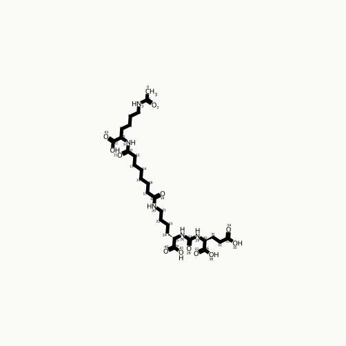 CC(=O)NCCCCC(NC(=O)CCCCCCC(=O)NCCCC[C@H](NC(=O)N[C@@H](CCC(=O)O)C(=O)O)C(=O)O)C(=O)O